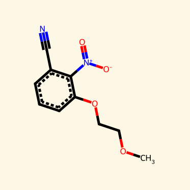 COCCOc1cccc(C#N)c1[N+](=O)[O-]